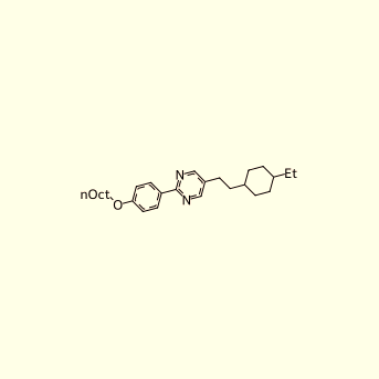 CCCCCCCCOc1ccc(-c2ncc(CCC3CCC(CC)CC3)cn2)cc1